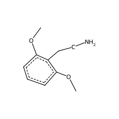 COc1cccc(OC)c1CCN